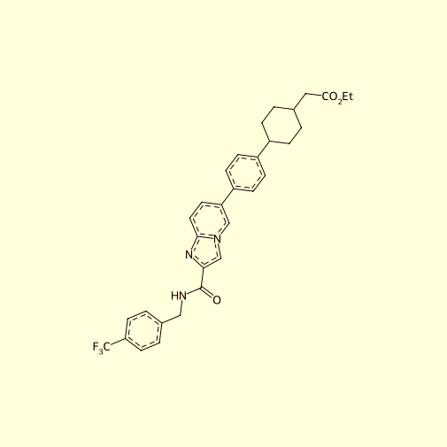 CCOC(=O)CC1CCC(c2ccc(-c3ccc4nc(C(=O)NCc5ccc(C(F)(F)F)cc5)cn4c3)cc2)CC1